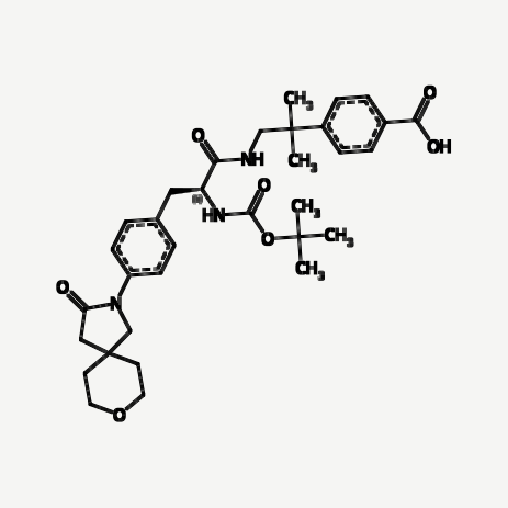 CC(C)(C)OC(=O)N[C@@H](Cc1ccc(N2CC3(CCOCC3)CC2=O)cc1)C(=O)NCC(C)(C)c1ccc(C(=O)O)cc1